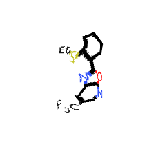 CCSC1=CC=CCC1c1nc2cc(C(F)(F)F)cnc2o1